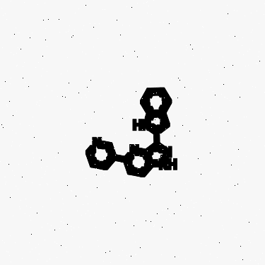 c1cncc(-c2ccc3[nH]nc(-c4cc5ccccc5[nH]4)c3n2)c1